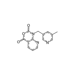 Cc1cncc(Cn2c(=O)oc(=O)c3cccnc32)c1